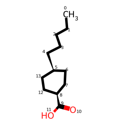 CCCCC[C@H]1CC[C@@H](C(=O)O)CC1